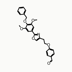 COc1cc(-c2nc(CCOc3ccc(C=O)cc3)co2)cc(OC)c1OCc1ccccc1